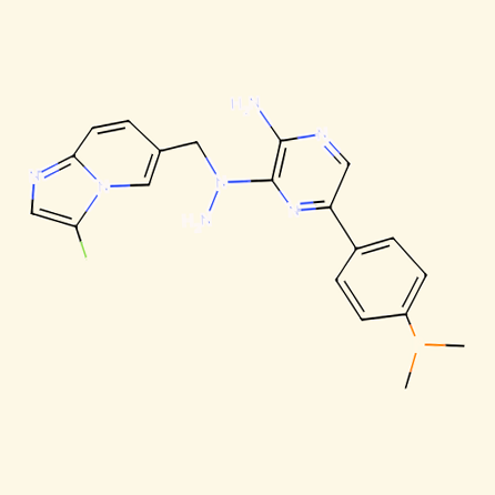 CP(C)c1ccc(-c2cnc(N)c(N(N)Cc3ccc4ncc(F)n4c3)n2)cc1